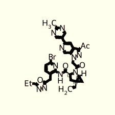 C=C[C@@]12C[C@@H](C(=O)Nc3nc(Br)ccc3Cc3nnc(CC)o3)N(C(=O)Cn3nc(C(C)=O)c4cc(-c5cnc(C)nc5)ncc43)[C@@H]1C2